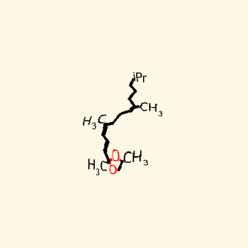 CC(=CC=CC1(C)OCC(C)O1)CCC=C(C)CCCC(C)C